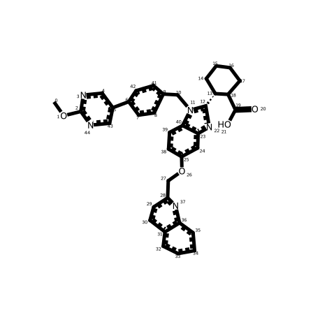 COc1ncc(-c2ccc(Cn3c([C@@H]4CCCCC4C(=O)O)nc4cc(OCc5ccc6ccccc6n5)ccc43)cc2)cn1